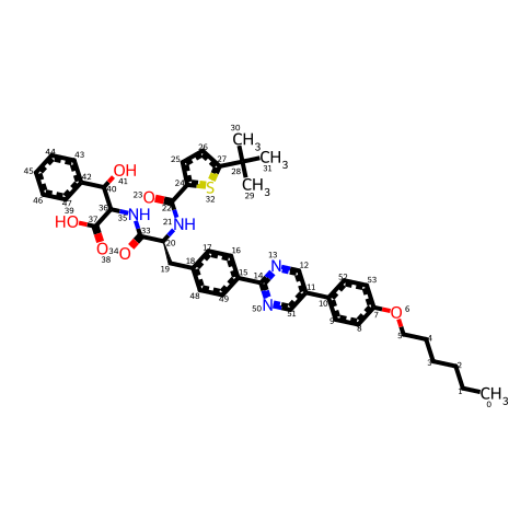 CCCCCCOc1ccc(-c2cnc(-c3ccc(C[C@H](NC(=O)c4ccc(C(C)(C)C)s4)C(=O)NC(C(=O)O)C(O)c4ccccc4)cc3)nc2)cc1